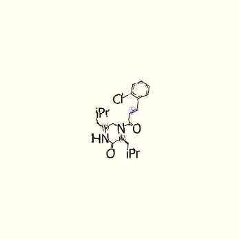 CC(C)C[C@H]1CN(C(=O)/C=C/c2ccccc2Cl)[C@@H](CC(C)C)C(=O)N1